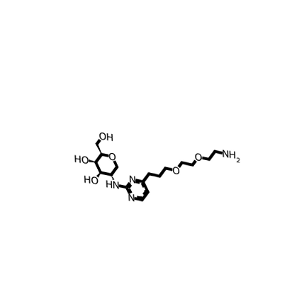 NCCOCCOCCCc1ccnc(N[C@H]2CO[C@H](CO)[C@H](O)[C@@H]2O)n1